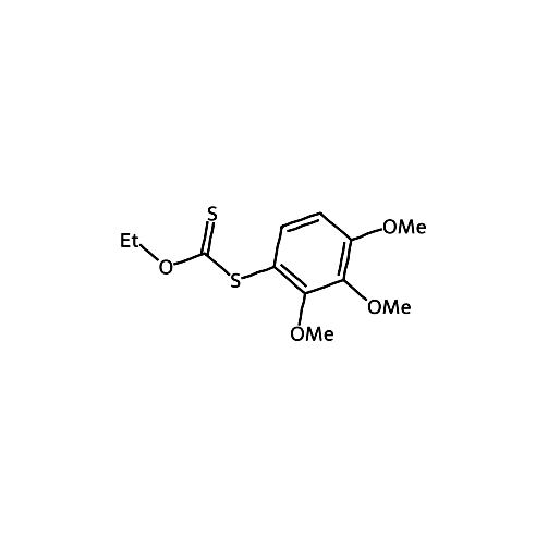 CCOC(=S)Sc1ccc(OC)c(OC)c1OC